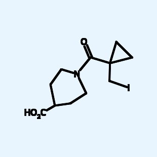 O=C(O)C1CCN(C(=O)C2(CI)CC2)CC1